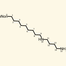 CCCCCCCCCCCCCCCCCCNCCCCN